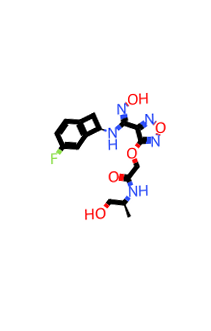 C[C@@H](CO)NC(=O)COc1nonc1/C(=N\O)N[C@H]1Cc2ccc(F)cc21